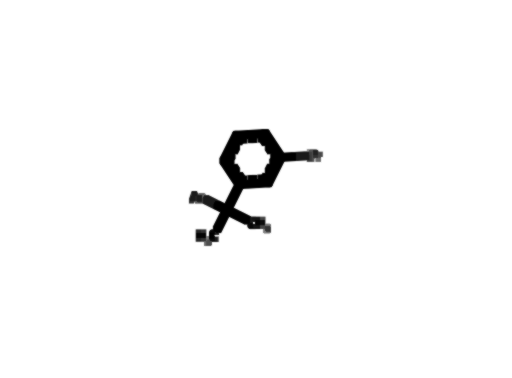 CC(=O)C(C)(C)c1cccc(C(C)C)c1